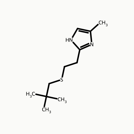 Cc1c[nH]c(CCSCC(C)(C)C)n1